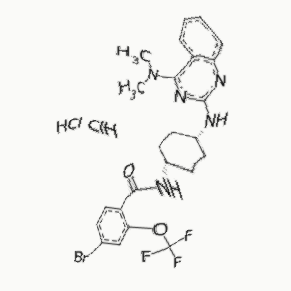 CN(C)c1nc(N[C@H]2CC[C@@H](NC(=O)c3ccc(Br)cc3OC(F)(F)F)CC2)nc2ccccc12.Cl.Cl